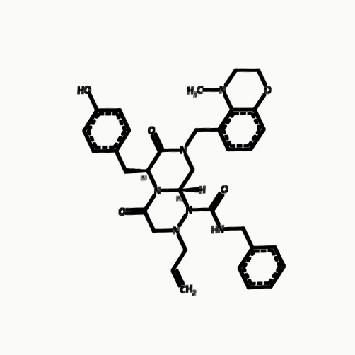 C=CCN1CC(=O)N2[C@@H](Cc3ccc(O)cc3)C(=O)N(Cc3cccc4c3N(C)CCO4)C[C@@H]2N1C(=O)NCc1ccccc1